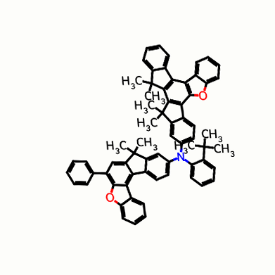 CC(C)(C)c1ccccc1N(c1ccc2c(c1)C(C)(C)c1cc(-c3ccccc3)c3oc4ccccc4c3c1-2)c1ccc2c(c1)C(C)(C)c1c3c(c4c(oc5ccccc54)c1-2)-c1ccccc1C3(C)C